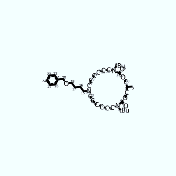 CC1COC(=O)N(C(C)(C)C)CCCCCCN(CCCCOCc2ccccc2)CCCCCCN(C(C)(C)C)C(=O)OC1